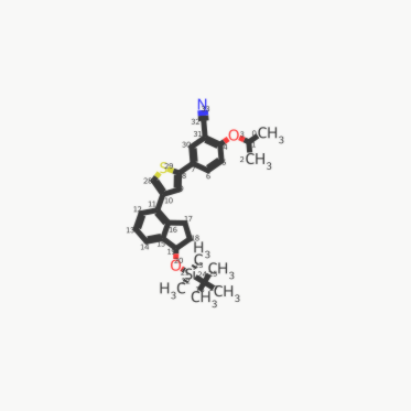 CC(C)Oc1ccc(-c2cc(-c3cccc4c3CCC4O[Si](C)(C)C(C)(C)C)cs2)cc1C#N